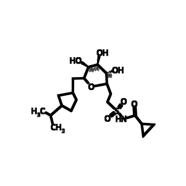 CC(C)C1CCC(CC2OC(CCS(=O)(=O)NC(=O)C3CC3)[C@@H](O)[C@H](O)[C@@H]2O)C1